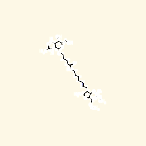 B[C@@H]1O[C@H](COC)C(OP(=O)(O)OC)[C@@H]1C/C=C/CCCCNC(=S)CCCCO[C@@H]1O[C@H](CO)[C@H](O)[C@H](O)[C@H]1NC(C)=O